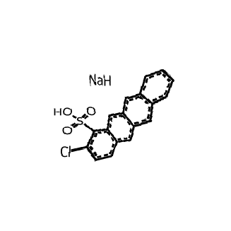 O=S(=O)(O)c1c(Cl)ccc2cc3cc4ccccc4cc3cc12.[NaH]